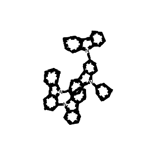 c1ccc(-n2c3ccc(-n4c5ccccc5c5ccccc54)cc3c3cc(-n4c5ccccc5c5cccc(-n6c7ccccc7c7ccccc76)c54)ccc32)cc1